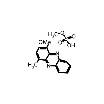 COS(=O)(=O)O.COc1ccc(C)c2nc3ccccc3nc12